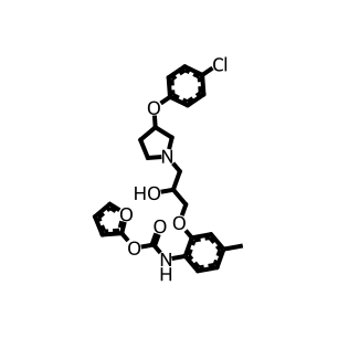 Cc1ccc(NC(=O)Oc2ccco2)c(OCC(O)CN2CCC(Oc3ccc(Cl)cc3)C2)c1